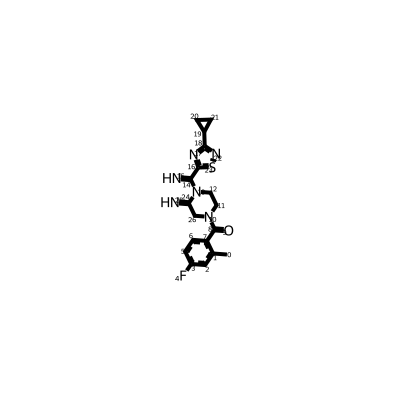 Cc1cc(F)ccc1C(=O)N1CCN(C(=N)c2nc(C3CC3)ns2)C(=N)C1